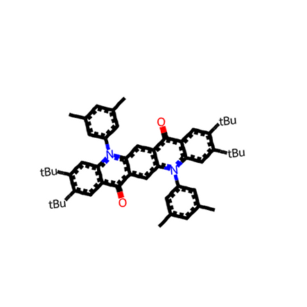 Cc1cc(C)cc(-n2c3cc(C(C)(C)C)c(C(C)(C)C)cc3c(=O)c3cc4c(cc32)c(=O)c2cc(C(C)(C)C)c(C(C)(C)C)cc2n4-c2cc(C)cc(C)c2)c1